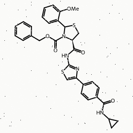 COc1ccccc1C1SC[C@@H](C(=O)Nc2nc(-c3ccc(C(=O)NC4CC4)cc3)cs2)N1C(=O)OCc1ccccc1